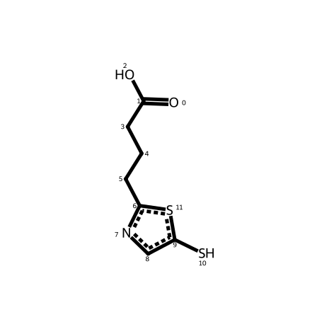 O=C(O)CCCc1ncc(S)s1